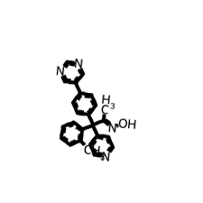 CC(=NO)C(c1ccncc1)(c1ccc(-c2cncnc2)cc1)c1ccccc1C